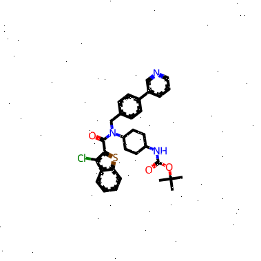 CC(C)(C)OC(=O)NC1CCC(N(Cc2ccc(-c3cccnc3)cc2)C(=O)c2sc3ccccc3c2Cl)CC1